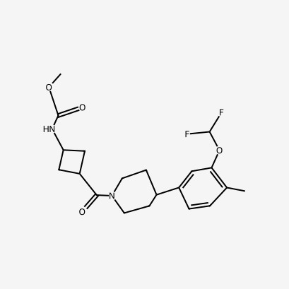 COC(=O)NC1CC(C(=O)N2CCC(c3ccc(C)c(OC(F)F)c3)CC2)C1